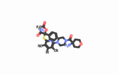 CCc1c(C#N)c(SC(OC(=O)C(F)(F)F)(C(N)=O)c2ccccc2)nc(N2CCN(C(=O)C3(N)CCOCC3)CC2)c1C#N